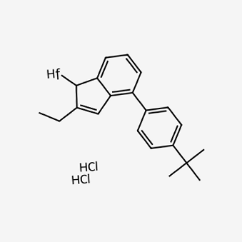 CCC1=Cc2c(-c3ccc(C(C)(C)C)cc3)cccc2[CH]1[Hf].Cl.Cl